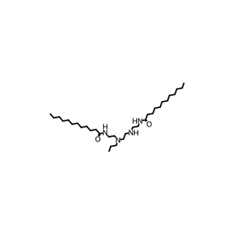 CCCCCCCCCCCC(=O)NCCNCCN(CCC)CCNC(=O)CCCCCCCCCCC